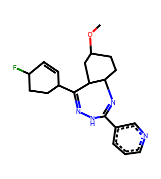 COC1CCC2N=C(c3cccnc3)NN=C(C3C=CC(F)CC3)C2C1